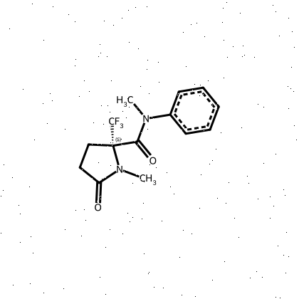 CN(C(=O)[C@]1(C(F)(F)F)CCC(=O)N1C)c1ccccc1